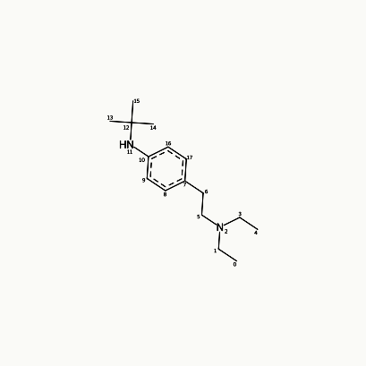 CCN(CC)CCc1ccc(NC(C)(C)C)cc1